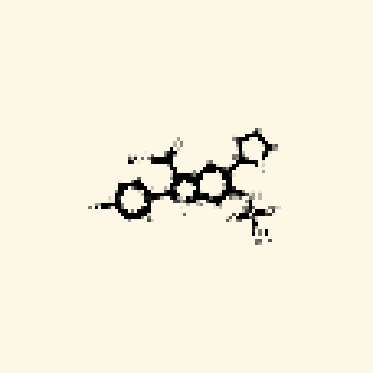 CNC(=O)c1c(-c2ccc(F)cc2)oc2cc(NS(C)(=O)=O)c(C3CCCO3)cc12